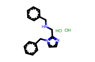 Cl.Cl.c1ccc(CNCc2nccn2Cc2ccccc2)cc1